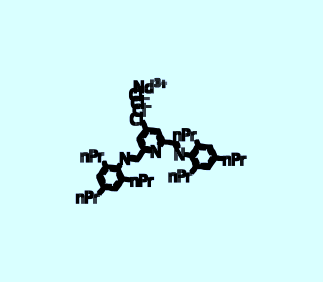 CCCc1cc(CCC)c(N=Cc2cc(Cl)cc(C=Nc3c(CCC)cc(CCC)cc3CCC)n2)c(CCC)c1.[Cl-].[Cl-].[Cl-].[Nd+3]